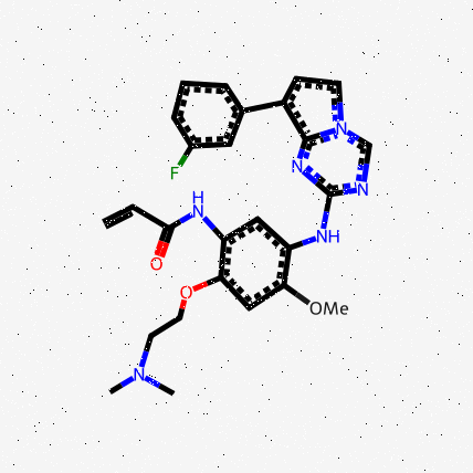 C=CC(=O)Nc1cc(Nc2ncn3ccc(-c4cccc(F)c4)c3n2)c(OC)cc1OCCN(C)C